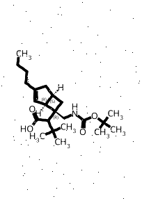 CCCCC1=C[C@H]2[C@@H](C1)C[C@]2(CNC(=O)OC(C)(C)C)C(C(=O)O)C(C)(C)C